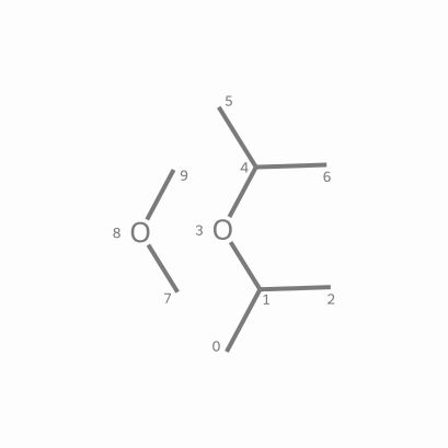 CC(C)OC(C)C.COC